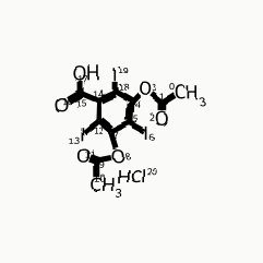 CC(=O)Oc1c(I)c(OC(C)=O)c(I)c(C(=O)O)c1I.Cl